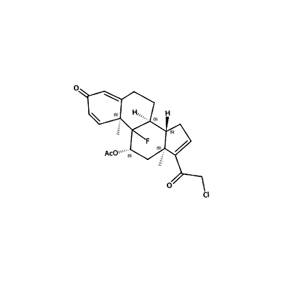 CC(=O)O[C@H]1C[C@]2(C)C(C(=O)CCl)=CC[C@H]2[C@@H]2CCC3=CC(=O)C=C[C@]3(C)C12F